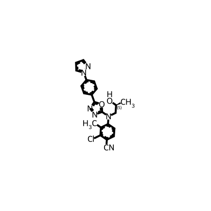 Cc1c(N(C[C@H](C)O)c2nnc(-c3ccc(-n4cccn4)cc3)o2)ccc(C#N)c1Cl